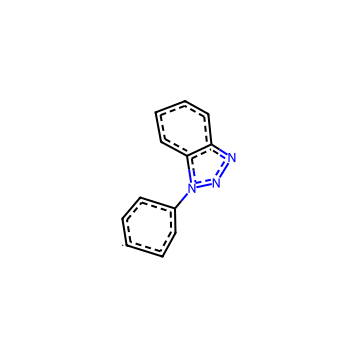 [c]1ccc(-n2nnc3ccccc32)cc1